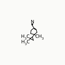 CC1(C)CC1C1(C)CC=C(C#N)CC1